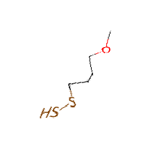 COCCCSS